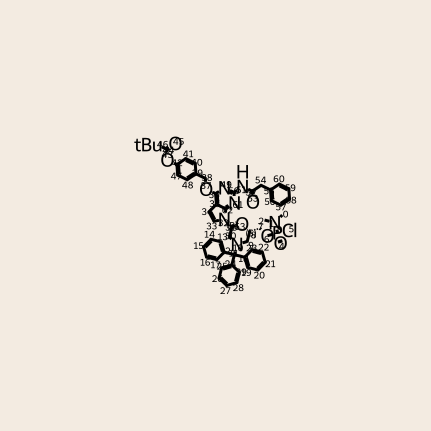 CN(C)P(=O)(Cl)OC[C@@H]1CN(C(c2ccccc2)(c2ccccc2)c2ccccc2)C[C@H](n2ccc3c(OCc4ccc(OC(=O)C(C)(C)C)cc4)nc(NC(=O)Cc4ccccc4)nc32)O1